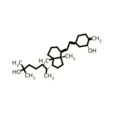 C=C1CC/C(=C/C=C2\CCCC3(C)[C@@H](C(C)CCCC(C)(C)O)CC[C@@]23C)C[C@H]1O